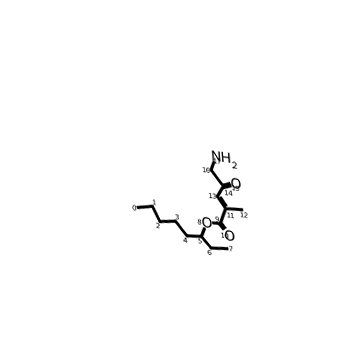 CCCCCC(CC)OC(=O)C(C)=CC(=O)CN